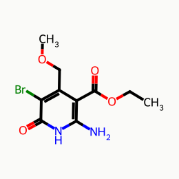 CCOC(=O)c1c(N)[nH]c(=O)c(Br)c1COC